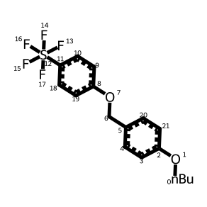 CCCCOc1ccc(COc2ccc(S(F)(F)(F)(F)F)cc2)cc1